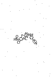 CCN(c1ccc(NC(C)=O)c(Cl)c1)c1nc(Nc2ccc(N3CCN(C)CC3)cc2)ncc1F